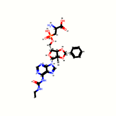 CCNC(=O)Nc1ncnc2c1ncn2[C@@H]1O[C@H](COP(=O)(O)CC(N)C(=O)O)C2O[C@H](c3ccccc3)O[C@@H]21